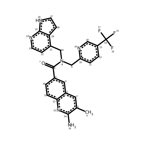 Cc1cc2cc(C(=O)N(Cc3ccc(C(F)(F)F)cn3)Cc3ccnc4[nH]ccc34)ccc2nc1N